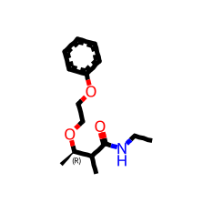 CCNC(=O)C(C)[C@@H](C)OCCOc1ccccc1